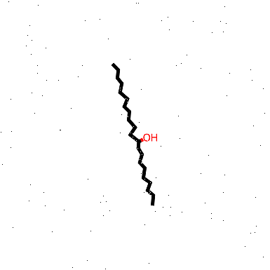 CCCCCCCCCCCC(O)CCCCCCCCC